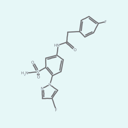 NS(=O)(=O)c1cc(NC(=O)Cc2ccc(F)cc2)ccc1-n1cc(F)cn1